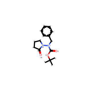 CC(C)(C)OC(=O)N(Cc1ccccc1)N1CCCC1=O